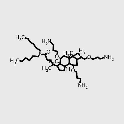 CCCCCCN(CCCCCC)C(=O)CCC(C)C1CC[C@H]2C3[C@H](OCCCN)CC(CCOCCCN)[C@](C)(CC)[C@H]3C[C@H](OCCCN)[C@]12C